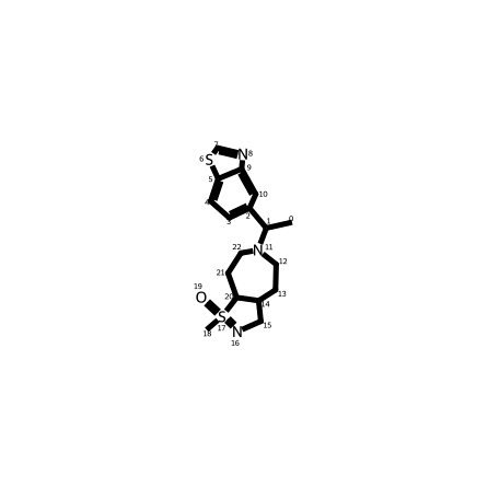 CC(c1ccc2scnc2c1)N1CCC2CN=S(C)(=O)C2CC1